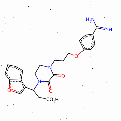 N=C(N)c1ccc(OCCCN2CCN(C(CC(=O)O)c3coc4ccccc34)C(=O)C2=O)cc1